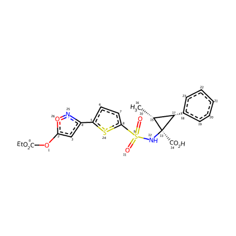 CCOC(=O)Oc1cc(-c2ccc(S(=O)(=O)N[C@@]3(C(=O)O)[C@H](C)[C@@H]3c3ccccc3)s2)no1